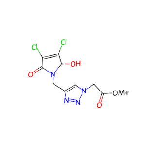 COC(=O)Cn1cc(CN2C(=O)C(Cl)=C(Cl)C2O)nn1